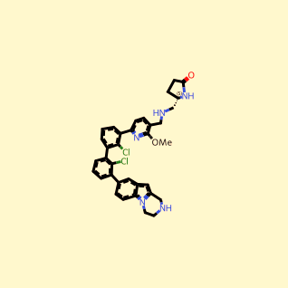 COc1nc(-c2cccc(-c3cccc(-c4ccc5c(c4)cc4n5CCNC4)c3Cl)c2Cl)ccc1CNC[C@@H]1CCC(=O)N1